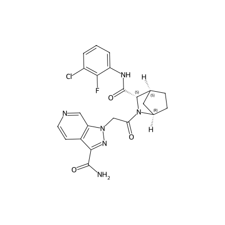 NC(=O)c1nn(CC(=O)N2[C@@H]3CC[C@@H](C3)[C@H]2C(=O)Nc2cccc(Cl)c2F)c2cnccc12